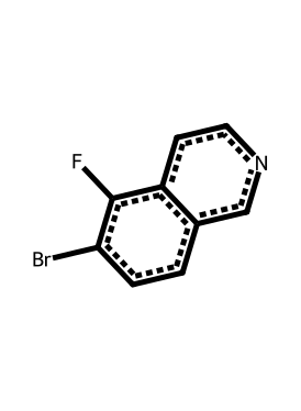 Fc1c(Br)ccc2cnccc12